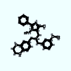 CCCn1c(-c2ccccc2)nc(Cl)c1CN(Cc1cccc(OCC)c1)Cc1ccc2c(c1)OCCO2